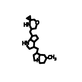 CC1CCN2CCC(CC3CCNC4C(CC5COCC6(CC6)N5)CCC34)C2C1